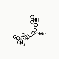 COc1cc(C=C2CN(CC(=O)NC3=CCC(=O)C=C3C)C(Cl)S2)ccc1OCc1cccc(C(=O)NC2CCCCC2)c1